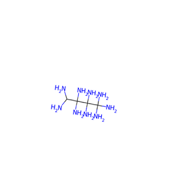 NC(N)C(N)(N)C(N)(N)C(N)(N)N